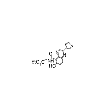 CCOC(=O)CNC(=O)c1c(O)ccc2nc(-c3ccsc3)cnc12